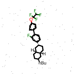 CCCCC1CC[C@@H]2C[C@H](c3ccc(-c4ccc(OC(F)(F)C(F)F)cc4)c(F)c3)CC[C@@H]2C1